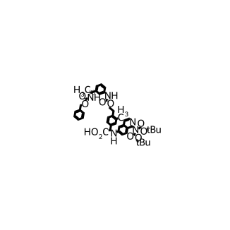 Cc1cc(C(Nc2ccc3c(N(C(=O)OC(C)(C)C)C(=O)OC(C)(C)C)nccc3c2)C(=O)O)ccc1CCOC(=O)Nc1cccc([C@H](C)NC(=O)OCc2ccccc2)c1